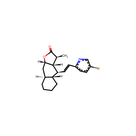 C[C@@H]1C(=O)O[C@H]2C[C@@H]3CCCC[C@H]3[C@H](/C=C/c3ccc(Br)cn3)[C@H]21